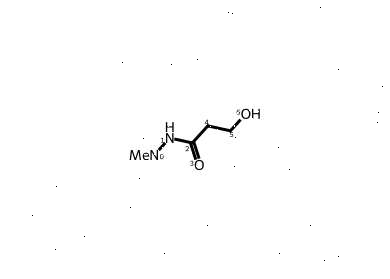 CNNC(=O)CCO